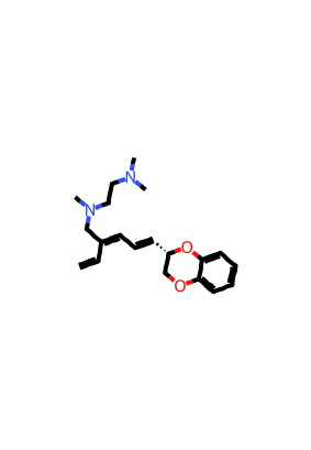 C=C/C(=C\C=C\[C@H]1COc2ccccc2O1)CN(C)CCN(C)C